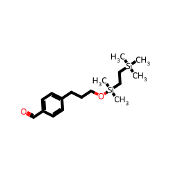 C[Si](C)(C)CC[Si](C)(C)OCCCc1ccc(C=O)cc1